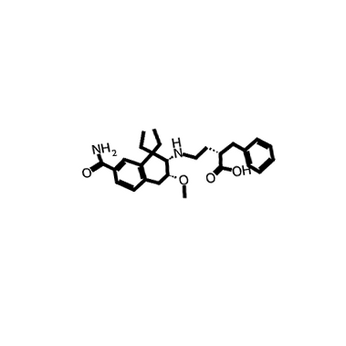 CCC1(CC)c2cc(C(N)=O)ccc2C[C@@H](OC)[C@H]1NCC[C@H](Cc1ccccc1)C(=O)O